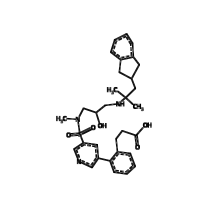 CN(CC(O)CNC(C)(C)CC1Cc2ccccc2C1)S(=O)(=O)c1cncc(-c2ccccc2CCC(=O)O)c1